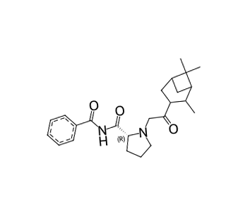 CC1C(C(=O)CN2CCC[C@@H]2C(=O)NC(=O)c2ccccc2)CC2CC1C2(C)C